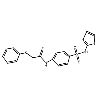 O=C(CSc1ccccc1)Nc1ccc(S(=O)(=O)Nc2nccs2)cc1